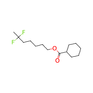 CC(F)(F)CCCCCOC(=O)C1CCCCC1